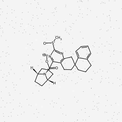 C[S+]([O-])c1nc2c(c(N3C[C@H]4CC[C@@H](C3)N4C(=O)OC(C)(C)C)n1)CCC1(CCCc3ccccc31)C2